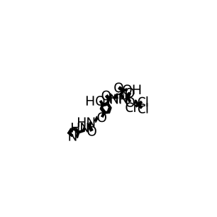 O=C(NCCOc1ccc(C(=O)NC[C@H](NC(=O)OCC(Cl)(Cl)Cl)C(=O)O)c(O)c1)NCc1cccnc1